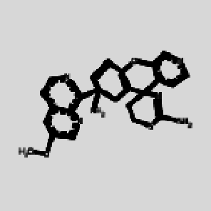 COc1cnc2c(C3(N)C=CC4=C(C3)C3(CCSC(N)=N3)c3ccncc3O4)nccc2c1